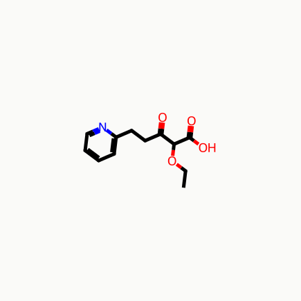 CCOC(C(=O)O)C(=O)CCc1ccccn1